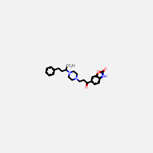 CCOC(=O)C(CCc1ccccc1)N1CCN(CCC(=O)c2ccc3[nH]c(=O)oc3c2)CC1